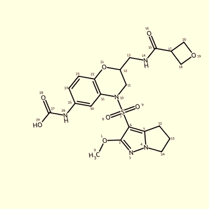 COc1nn2c(c1S(=O)(=O)N1CC(CNC(=O)C3COC3)Oc3ccc(NC(=O)O)cc31)CCC2